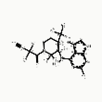 [2H]c1nc(N(C)[C@@]2([2H])C([2H])([2H])N(C(=O)C([2H])([2H])[N+]#[C-])CC[C@@]2([2H])C([2H])([2H])[2H])c2c([2H])c[nH]c2n1